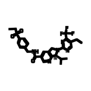 CCc1cnc(N2Cc3cc(C(=O)NCc4ccc(S(=O)(=O)CC)cc4)cnc3[C@@H]2C(C)C)nc1C(F)(F)F